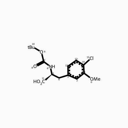 COc1cc(C[C@H](NC(=O)OC(C)(C)C)C(=O)O)ccc1Cl